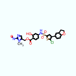 Cn1c(COC(=O)c2ccc(NS(=O)(=O)c3cc(-c4ccc5c(c4)CCO5)c(Cl)s3)cc2O)cnc1N=O